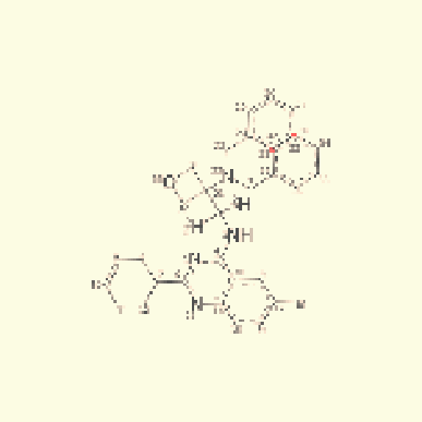 [2H]C([2H])(Nc1nc(C2CC=CCC2)nc2ccc(C)cc12)C1(N(Cc2ccccc2)Cc2ccccc2)COC1